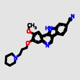 COc1cc2c(cc1OCCCN1CCCCC1)ncc1c3ccc(C#N)cc3[nH]c21